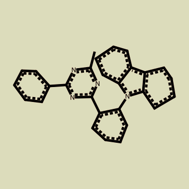 Cc1nc(-c2ccccc2)nc(-c2ccccc2-n2c3ccccc3c3ccccc32)n1